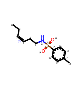 CC/C=C\CCNS(=O)(=O)c1ccc(C)cc1